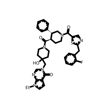 CCn1ccc2c(=O)n(CC3(O)CCN(C(=O)[C@@H]4CCN(C(=O)c5cnc(Cc6ccccc6F)s5)C[C@H]4c4ccccc4)CC3)cnc21